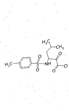 Cc1ccc(S(=O)(=O)NC(CC(C)C)C(=O)C(=O)Cl)cc1